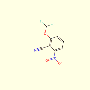 N#Cc1c(OC(F)F)cccc1[N+](=O)[O-]